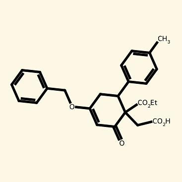 CCOC(=O)C1(CC(=O)O)C(=O)C=C(OCc2ccccc2)CC1c1ccc(C)cc1